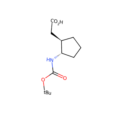 CC(C)(C)OC(=O)N[C@H]1CCC[C@@H]1CC(=O)O